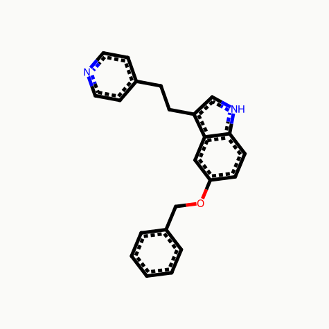 c1ccc(COc2ccc3[nH]cc(CCc4ccncc4)c3c2)cc1